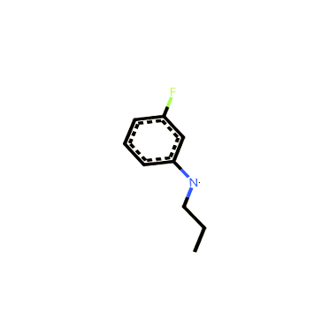 CCC[N]c1cccc(F)c1